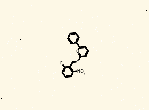 O=[N+]([O-])c1cccc(F)c1COc1cccc(-c2ccccc2)n1